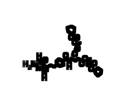 CC(OCOC[C@H](CCC(=O)OC(C)OC(=O)OC1CCCCC1)NC(=O)c1ccc(CCc2c[nH]c3nc(N)[nH]c(=O)c23)cc1)OC(=O)OC1CCCCC1